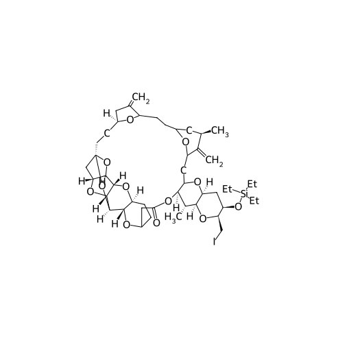 C=C1C[C@@H]2CC[C@@]34C[C@H]5O[C@H]6[C@@H](O3)[C@H]3OC(CC[C@@H]3O[C@H]6[C@H]5O4)CC(=O)O[C@H]3C(CC4OC(CCC1O2)C[C@@H](C)C4=C)O[C@H]1C[C@@H](O[Si](CC)(CC)CC)[C@@H](CI)O[C@H]1[C@@H]3C